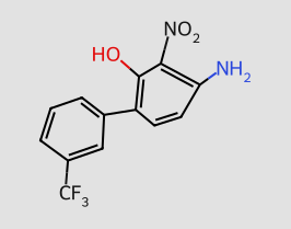 Nc1ccc(-c2cccc(C(F)(F)F)c2)c(O)c1[N+](=O)[O-]